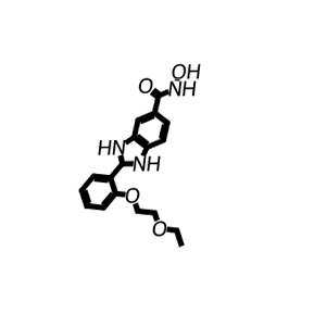 CCOCCOc1ccccc1C1Nc2ccc(C(=O)NO)cc2N1